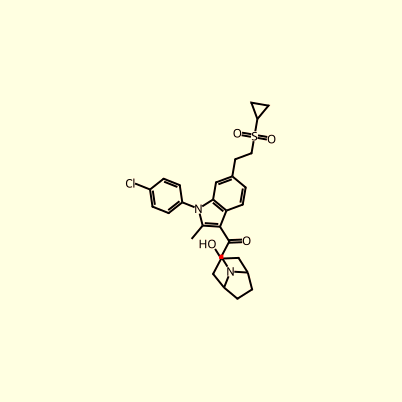 Cc1c(C(=O)CN2C3CCC2CC(O)C3)c2ccc(CCS(=O)(=O)C3CC3)cc2n1-c1ccc(Cl)cc1